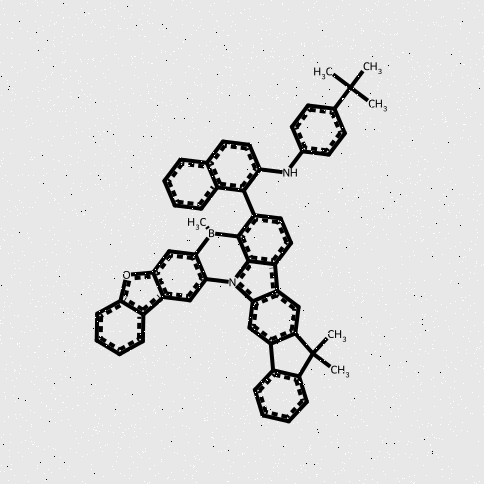 CB1c2cc3oc4ccccc4c3cc2-n2c3cc4c(cc3c3ccc(-c5c(Nc6ccc(C(C)(C)C)cc6)ccc6ccccc56)c1c32)C(C)(C)c1ccccc1-4